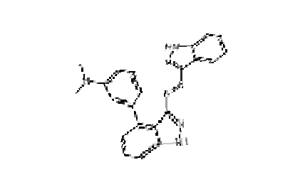 CN(C)c1cccc(-c2cccc3[nH]nc(N=Nc4n[nH]c5ccccc45)c23)c1